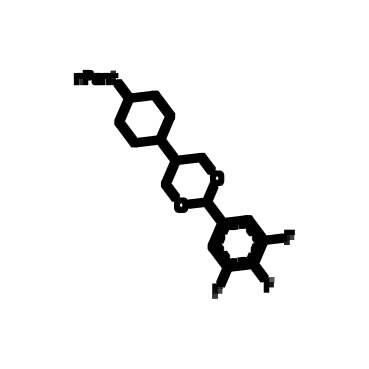 CCCCCC1CCC(C2COC(c3cc(F)c(F)c(F)c3)OC2)CC1